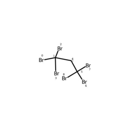 BrC(Br)(Br)[C]C(Br)(Br)Br